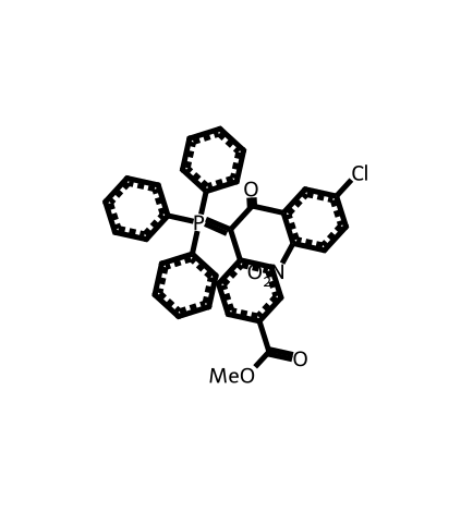 COC(=O)c1ccc(C(C(=O)c2cc(Cl)ccc2[N+](=O)[O-])=P(c2ccccc2)(c2ccccc2)c2ccccc2)cc1